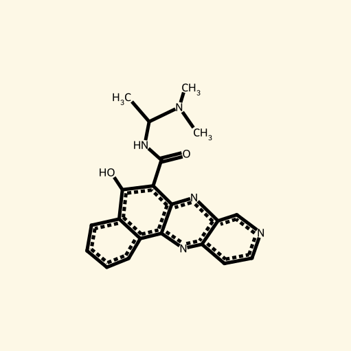 CC(NC(=O)c1c(O)c2ccccc2c2nc3ccncc3nc12)N(C)C